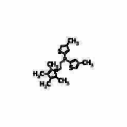 Cc1csc(P(CCp2c(C)c(C)c(C)c2C)c2cc(C)cs2)c1